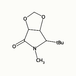 CN1C(=O)C2OCOC2C1C(C)(C)C